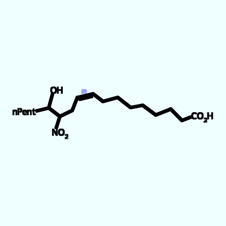 CCCCCC(O)C(C/C=C\CCCCCCCC(=O)O)[N+](=O)[O-]